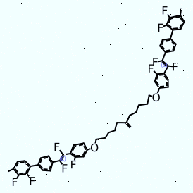 C=C(CCCCCOc1ccc(/C(F)=C(\F)c2ccc(-c3ccc(C)c(F)c3F)cc2)c(F)c1)CCCCCOc1ccc(/C(F)=C(\F)c2ccc(-c3ccc(C)c(F)c3F)cc2)c(F)c1